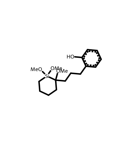 COC1(CCCc2ccccc2O)CCCC[Si]1(OC)OC